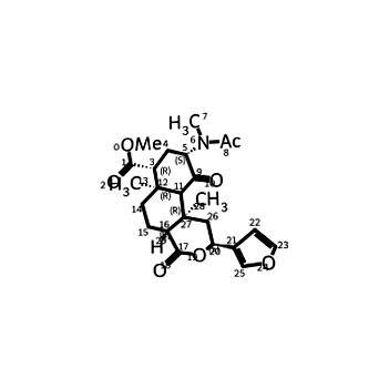 COC(=O)[C@@H]1C[C@H](N(C)C(C)=O)C(=O)C2[C@@]1(C)CC[C@H]1C(=O)O[C@H](c3ccoc3)C[C@]21C